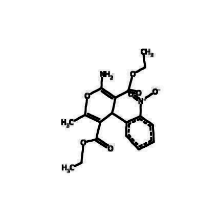 CCOC(=O)C1=C(C)OC(N)=C(C(=O)OCC)C1c1ccccc1[N+](=O)[O-]